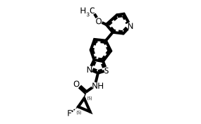 COc1ccncc1-c1ccc2nc(NC(=O)[C@@H]3C[C@@H]3F)sc2c1